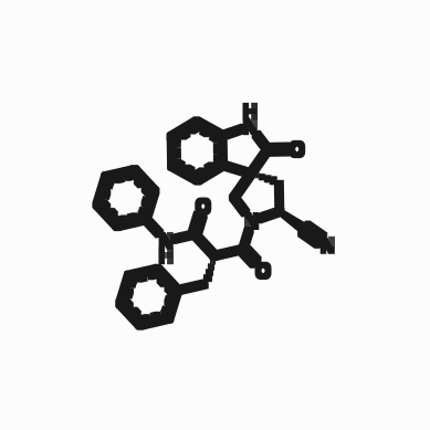 N#C[C@@H]1C[C@@]2(CN1C(=O)[C@H](Cc1ccccc1)C(=O)Nc1ccccc1)C(=O)Nc1ccccc12